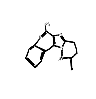 CC1CCc2nc3c(N)nc4ccccc4c3n2N1